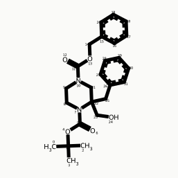 CC(C)(C)OC(=O)N1CCN(C(=O)OCc2ccccc2)CC1(CO)Cc1ccccc1